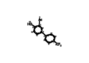 CC(=O)c1cc(-c2ccc(C(F)(F)F)cc2)ccc1O